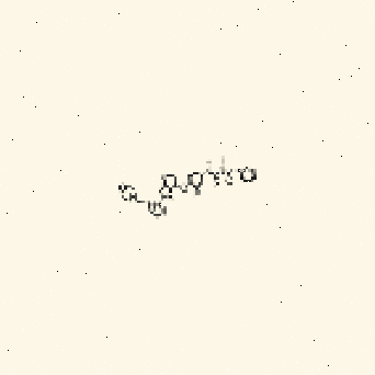 O=C(Cc1ccccc1)NC(=S)Nc1ccc(Oc2ccnc3cc(-c4nccn4CCN4CCOCC4)sc23)c(F)c1